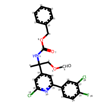 CC(COC=O)(NC(=O)OCc1ccccc1)c1cc(Cl)nc(-c2ccc(F)c(Cl)c2)c1